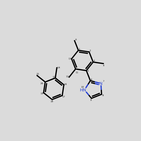 Cc1cc(C)c(-c2ncc[nH]2)c(C)c1.Cc1ccccc1C